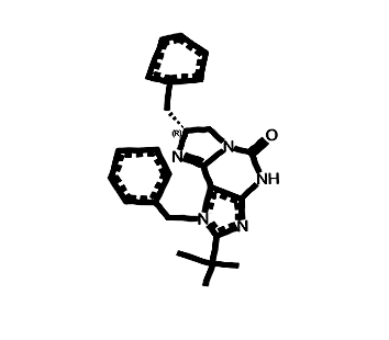 CC(C)(C)c1nc2c(n1Cc1ccccc1)C1=N[C@H](Cc3ccccc3)CN1C(=O)N2